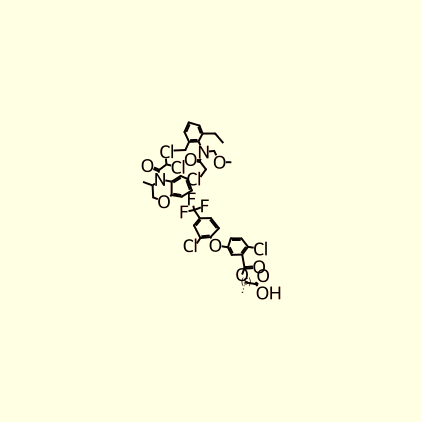 CC1COc2ccccc2N1C(=O)C(Cl)Cl.CCc1cccc(CC)c1N(COC)C(=O)CCl.C[C@H](OC(=O)c1cc(Oc2ccc(C(F)(F)F)cc2Cl)ccc1Cl)C(=O)O